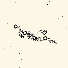 CCOc1cc(CN2CCN(c3ccc(C(=O)NS(=O)(=O)c4ccc(NCCSc5ccccc5)c([N+](=O)[O-])c4)nn3)CC2)cc(-c2cncc(O)c2)c1